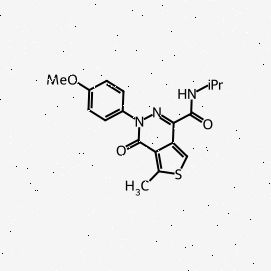 COc1ccc(-n2nc(C(=O)NC(C)C)c3csc(C)c3c2=O)cc1